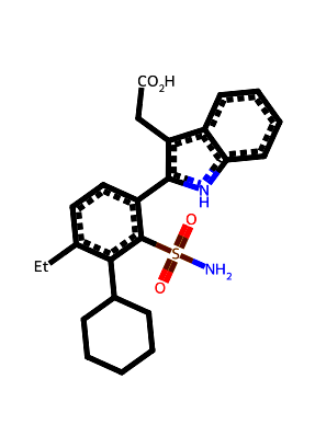 CCc1ccc(-c2[nH]c3ccccc3c2CC(=O)O)c(S(N)(=O)=O)c1C1CCCCC1